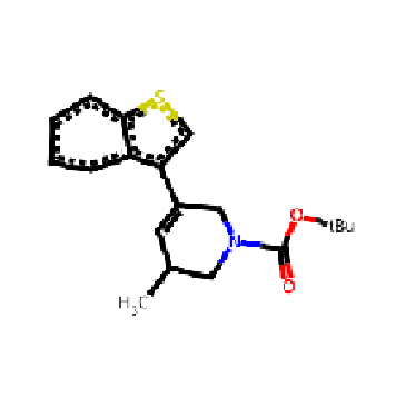 CC1C=C(c2csc3ccccc23)CN(C(=O)OC(C)(C)C)C1